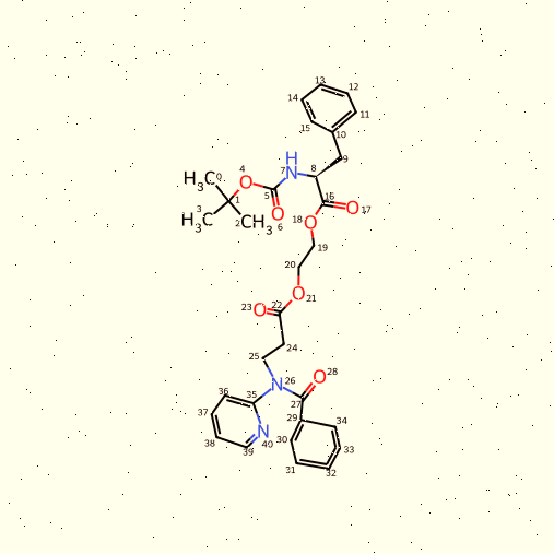 CC(C)(C)OC(=O)N[C@@H](Cc1ccccc1)C(=O)OCCOC(=O)CCN(C(=O)C1=CC=C=C=C1)c1ccccn1